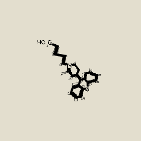 O=C(O)CCCCN1CCC(=C2c3ccccc3Sc3ccccc32)CC1